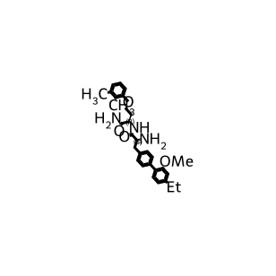 CCc1ccc(-c2ccc(C[C@H](N)C(=O)N[C@H](CCOc3cccc(C)c3C)C(N)=O)cc2)c(OC)c1